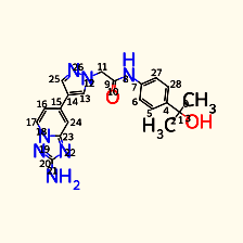 CC(C)(O)c1ccc(NC(=O)Cn2cc(-c3ccn4nc(N)nc4c3)cn2)cc1